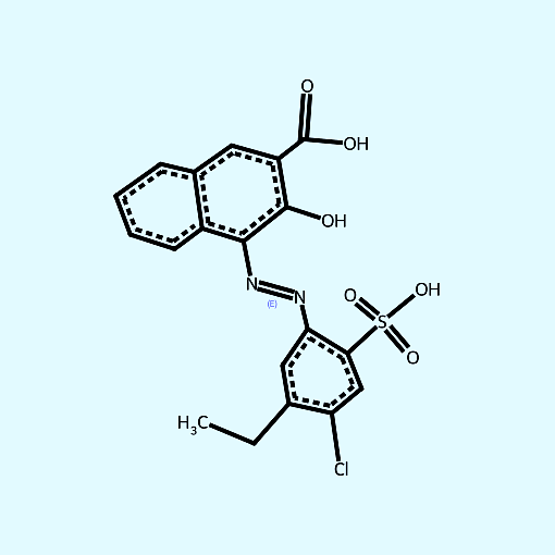 CCc1cc(/N=N/c2c(O)c(C(=O)O)cc3ccccc23)c(S(=O)(=O)O)cc1Cl